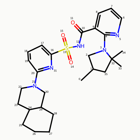 CC1CN(c2ncccc2C(=O)NS(=O)(=O)c2cccc(N3CCC4CCCCC4C3)n2)C(C)(C)C1